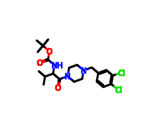 CC(C)C(NC(=O)OC(C)(C)C)C(=O)N1CCN(Cc2ccc(Cl)c(Cl)c2)CC1